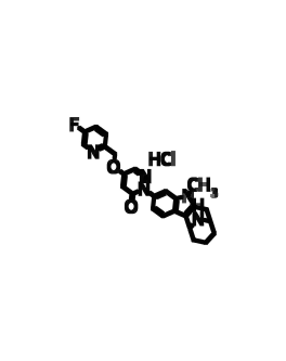 Cl.Cn1c2c(c3ccc(-n4ncc(OCc5ccc(F)cn5)cc4=O)cc31)C1CCCC(C2)N1